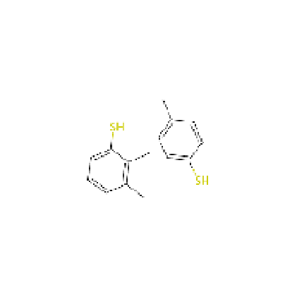 Cc1ccc(S)cc1.Cc1cccc(S)c1C